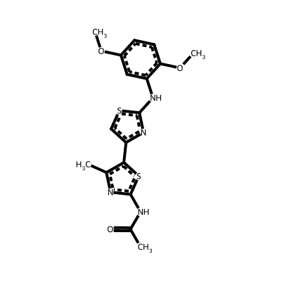 COc1ccc(OC)c(Nc2nc(-c3sc(NC(C)=O)nc3C)cs2)c1